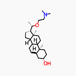 C[C@H](OCCN(C)C)[C@H]1CC[C@H]2[C@@H]3CC=C4C[C@@H](O)CC[C@]4(C)[C@H]3CC[C@]12C